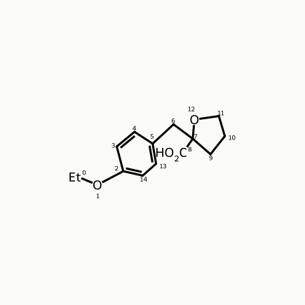 CCOc1ccc(CC2(C(=O)O)CCCO2)cc1